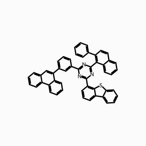 c1ccc(-c2ccc3ccccc3c2-c2nc(-c3cccc(-c4cc5ccccc5c5ccccc45)c3)nc(-c3cccc4c3sc3ccccc34)n2)cc1